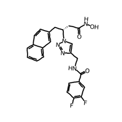 O=C(C[C@@H](Cc1ccc2ccccc2c1)n1cc(CNC(=O)c2ccc(F)c(F)c2)nn1)NO